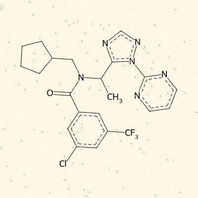 CC(c1ncnn1-c1ncccn1)N(CC1CCCC1)C(=O)c1cc(Cl)cc(C(F)(F)F)c1